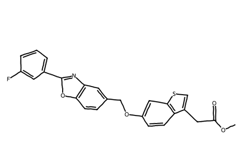 COC(=O)Cc1csc2cc(OCc3ccc4oc(-c5cccc(F)c5)nc4c3)ccc12